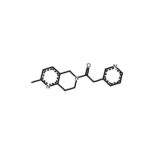 Cc1ccc2c(n1)CCN(C(=O)Cc1cccnc1)C2